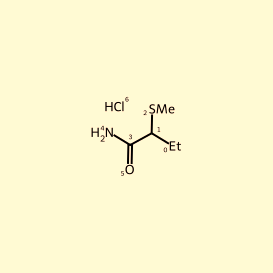 CCC(SC)C(N)=O.Cl